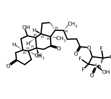 C[C@H](CCC(=O)OC(C(F)(F)F)C(F)(F)S(=O)(=O)O)[C@H]1CC[C@H]2[C@@H]3C(O)C[C@@H]4CC(=O)CC[C@]4(C)[C@H]3CC(=O)[C@]12C